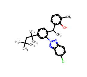 Cc1cccc(C(C)c2ccc(C(C)(C)CC(C)(C)C)cc2-n2nc3ccc(Cl)cc3n2)c1O